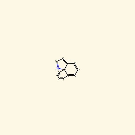 [C]1=NC23C=CC=CC2=CC=CC3=C1